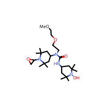 COCCOCCN(C(=O)NC1CC(C)(C)N(O)C(C)(C)C1)C1CC(C)(C)N(C2CO2)C(C)(C)C1